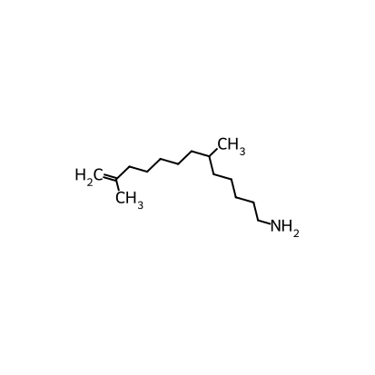 C=C(C)CCCCCC(C)CCCCCN